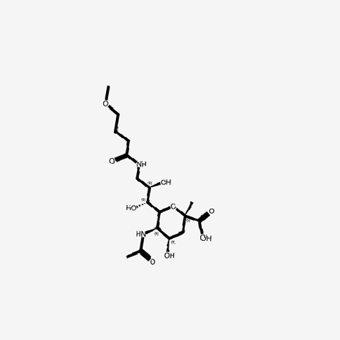 COCCCC(=O)NC[C@@H](O)[C@@H](O)C1O[C@](C)(C(=O)O)C[C@@H](O)[C@H]1NC(C)=O